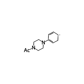 CC(=O)N1CCN(C2=CC[CH]C=C2)CC1